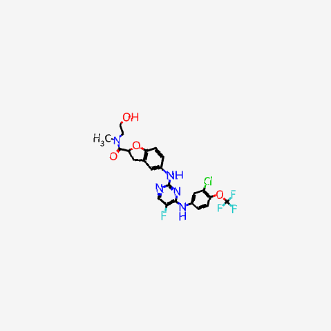 CN(CCO)C(=O)C1Cc2cc(Nc3ncc(F)c(Nc4ccc(OC(F)(F)F)c(Cl)c4)n3)ccc2O1